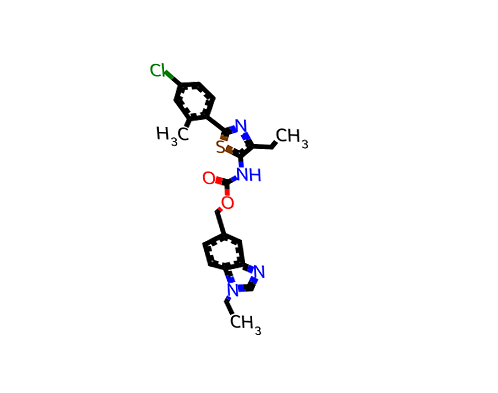 CCc1nc(-c2ccc(Cl)cc2C)sc1NC(=O)OCc1ccc2c(c1)ncn2CC